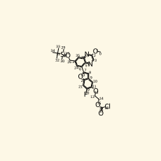 COc1cnc2c(-c3cc4cc(OCCOC(=O)Cl)c(F)cc4o3)cc(CO[Si](C)(C)C(C)(C)C)cc2n1